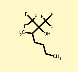 CCCCC(C)C(O)(C(F)(F)F)C(F)(F)F